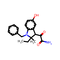 CCC1(C)C(C(=O)C(N)=O)c2cc(O)ccc2N1Cc1ccccc1